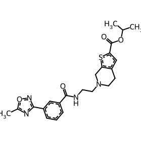 Cc1nc(-c2cccc(C(=O)NCCN3CCc4cc(C(=O)OC(C)C)sc4C3)c2)no1